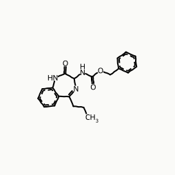 CCCC1=NC(NC(=O)OCc2ccccc2)C(=O)Nc2ccccc21